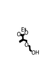 C=C(COCCO)C(=O)OCC